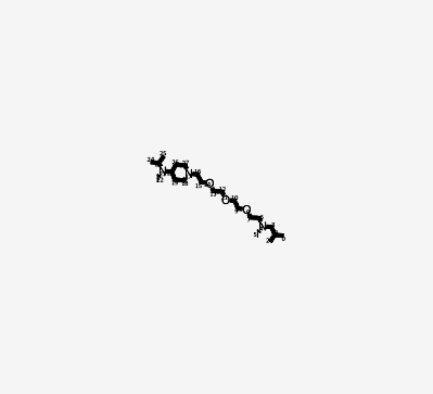 CC(C)CN(I)CCOCCOCCOCCN1CCC(N(I)C(C)C)CC1